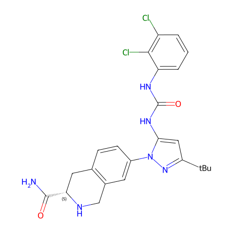 CC(C)(C)c1cc(NC(=O)Nc2cccc(Cl)c2Cl)n(-c2ccc3c(c2)CN[C@H](C(N)=O)C3)n1